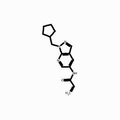 C=CC(=O)Nc1cnc2c(cnn2CC2CCCC2)c1